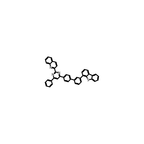 c1ccc(-c2cc(-c3ccc(-c4cccc(-c5cccc6c5sc5ccccc56)c4)cc3)nc(-c3ccc4ccccc4n3)n2)cc1